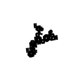 C=CC(=O)N1CC[C@H](Oc2cc(O[C@@H](C)[C@@H]3C[C@@H](F)CN3C)nc(-c3nc(C(C)(C)c4c(F)cccc4F)no3)n2)C[C@H]1CC#N